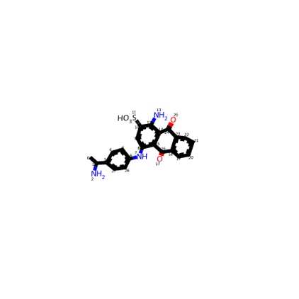 CC(N)c1ccc(Nc2cc(S(=O)(=O)O)c(N)c3c2C(=O)c2ccccc2C3=O)cc1